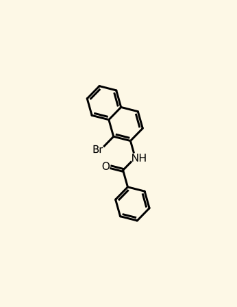 O=C(Nc1ccc2ccccc2c1Br)c1ccccc1